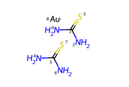 NC(N)=S.NC(N)=S.[Au]